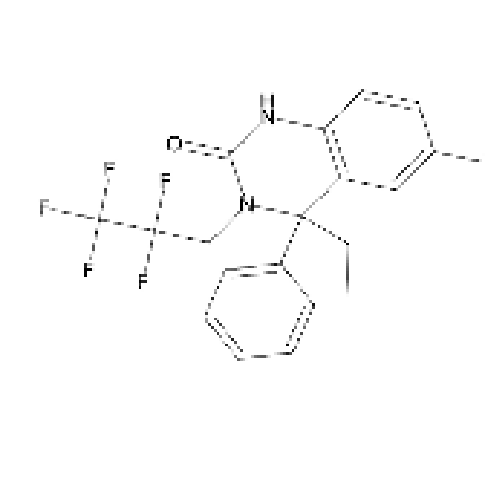 CCC1(c2ccccc2)c2cc(F)ccc2NC(=O)N1CC(F)(F)C(F)(F)F